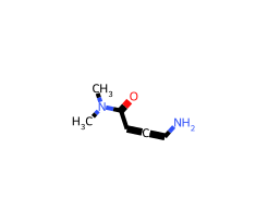 CN(C)C(=O)C=C=CN